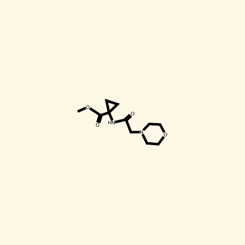 COC(=O)C1(NC(=O)CN2CCOCC2)CC1